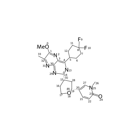 COc1nc2c(C3CCC(F)(F)CC3)nc([C@H]3CCO[C@@H](c4ccc(=O)n(C)c4)C3)nc2nc1C